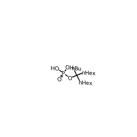 CCCCCCC(CCCC)(CCCCCC)OP(=O)(O)O